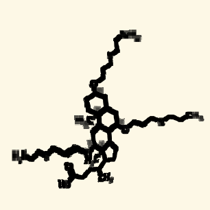 CCCSCCCO[C@@H]1CC2C[C@H](OCCCSCCN)CC[C@]2(C)C2C[C@H](OCCCSCCN)[C@]3(C)C(C(C)CCC(=O)O)CCC3C21